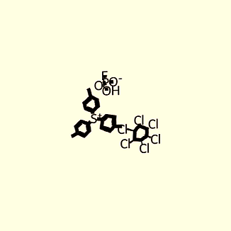 Cc1ccc([S+](c2ccc(C)cc2)c2ccc(C)cc2)cc1.Cl[C@H]1[C@H](Cl)[C@@H](Cl)[C@@H](Cl)[C@H](Cl)[C@H]1Cl.O=P([O-])(O)F